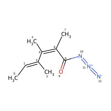 C/C=C(C)/C(C)=C(/C)C(=O)N=[N+]=[N-]